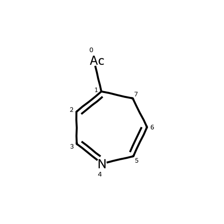 CC(=O)C1=CC=NC=CC1